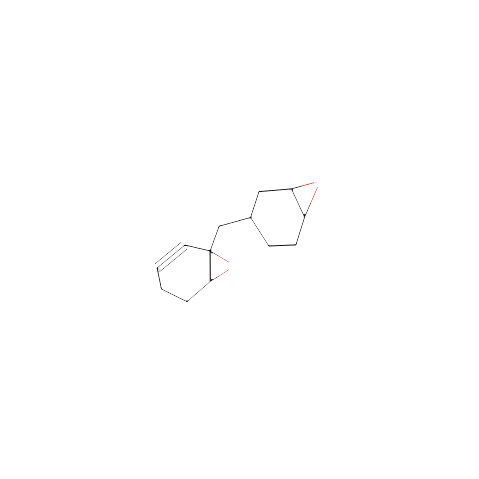 C1#CC2(CC3CCC4OC4C3)OC2CC1